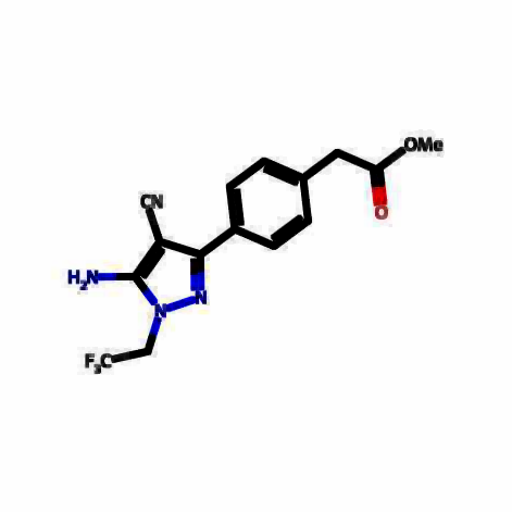 COC(=O)Cc1ccc(-c2nn(CC(F)(F)F)c(N)c2C#N)cc1